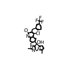 COc1nc2ccc(C(O)(c3ccc(C)n3C)c3cnc(C)n3C)cc2c(Cl)c1Cc1cccc(C(F)(F)F)c1